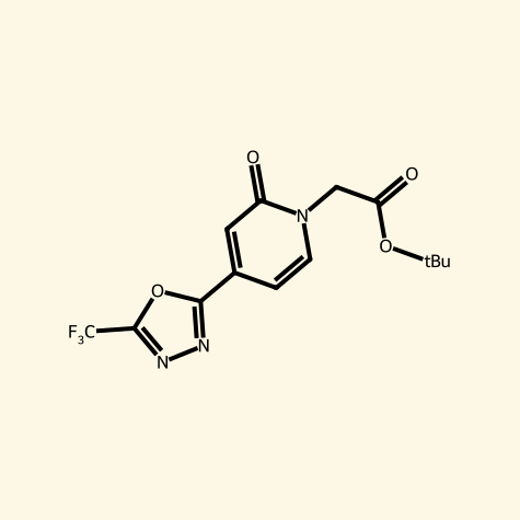 CC(C)(C)OC(=O)Cn1ccc(-c2nnc(C(F)(F)F)o2)cc1=O